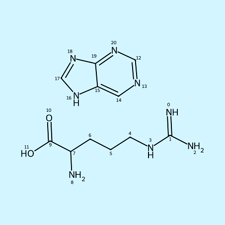 N=C(N)NCCCC(N)C(=O)O.c1ncc2[nH]cnc2n1